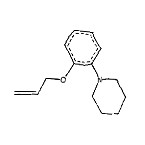 C=CCOc1ccccc1N1CCCCC1